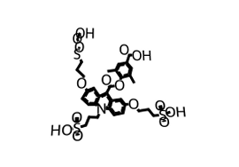 Cc1cc(C(=O)O)cc(C)c1OC(=O)c1c2cc(OCCCSOOO)ccc2[n+](CCCS(=O)(=O)O)c2ccc(OCCCS(=O)(=O)O)cc12